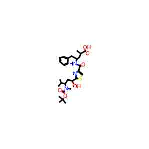 CC(CC(Cc1ccccc1)NC(=O)c1csc(C(O)CC(C(C)C)N(C)C(=O)OC(C)(C)C)n1)C(=O)O